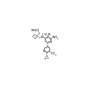 COCC1(CN(C)c2cc(-c3cnc(C4CC4)c(C(F)(F)F)c3)nc(N)c2N)CCC1